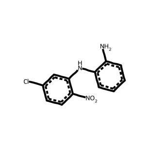 Nc1ccccc1Nc1cc(Cl)ccc1[N+](=O)[O-]